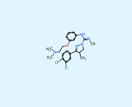 CC1CN(/C(=N\C#N)Nc2cccc(OCCN(C)C)c2)N=C1c1ccc(Cl)c(Cl)c1